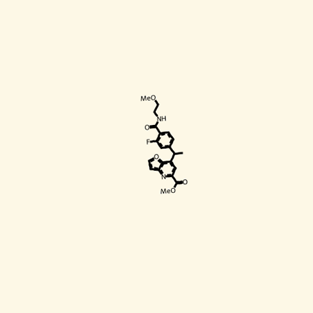 COCCNC(=O)c1ccc(C(C)c2cc(C(=O)OC)nc3ccoc23)cc1F